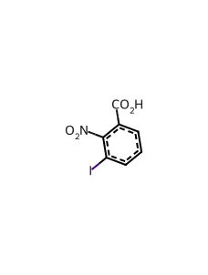 O=C(O)c1cccc(I)c1[N+](=O)[O-]